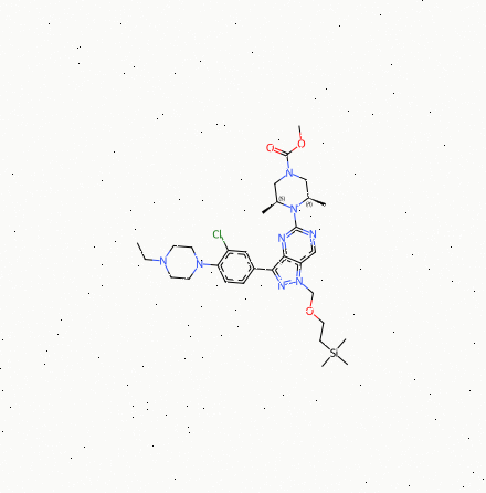 CCN1CCN(c2ccc(-c3nn(COCC[Si](C)(C)C)c4cnc(N5[C@H](C)CN(C(=O)OC)C[C@@H]5C)nc34)cc2Cl)CC1